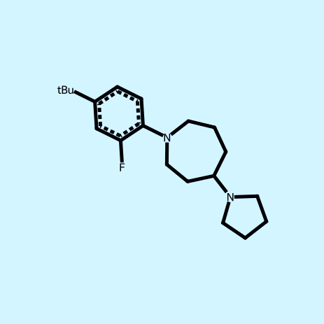 CC(C)(C)c1ccc(N2CCCC(N3CCCC3)CC2)c(F)c1